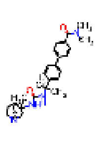 CN(C)C(=O)c1ccc(-c2ccc(C(C)(C)NC(=O)NC3(C)CCN4CCC3CC4)cc2)cc1